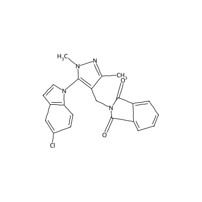 Cc1nn(C)c(-n2ccc3cc(Cl)ccc32)c1CN1C(=O)c2ccccc2C1=O